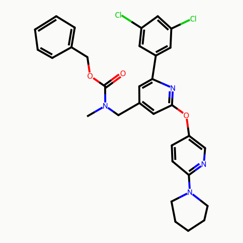 CN(Cc1cc(Oc2ccc(N3CCCCC3)nc2)nc(-c2cc(Cl)cc(Cl)c2)c1)C(=O)OCc1ccccc1